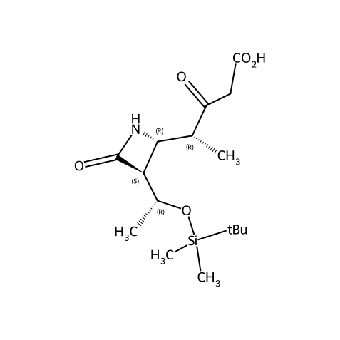 C[C@@H](O[Si](C)(C)C(C)(C)C)[C@H]1C(=O)N[C@@H]1[C@@H](C)C(=O)CC(=O)O